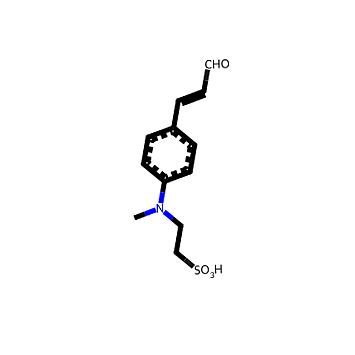 CN(CCS(=O)(=O)O)c1ccc(/C=C/C=O)cc1